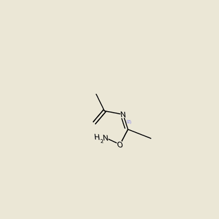 C=C(C)/N=C(/C)ON